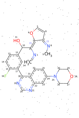 C=N/C(=C1/OC=C/C1=N/C)C(O)c1ccc(F)c(-c2ncnc3cc(N4CCOCC4)ccc23)c1